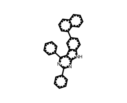 c1ccc(-c2nc(-c3ccccc3)c3c(n2)[nH]c2ccc(-c4cccc5ccccc45)cc23)cc1